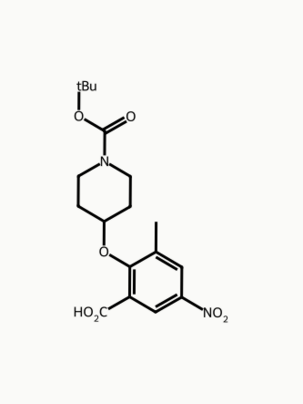 Cc1cc([N+](=O)[O-])cc(C(=O)O)c1OC1CCN(C(=O)OC(C)(C)C)CC1